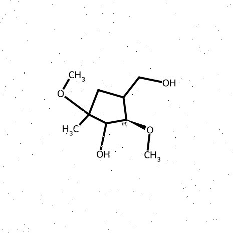 CO[C@@H]1C(CO)CC(C)(OC)C1O